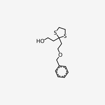 OCCC1(CCOCc2ccccc2)SCCS1